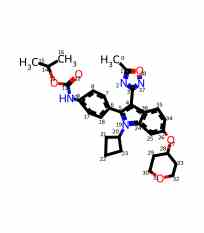 Cc1nc(-c2c(-c3ccc(NC(=O)OC(C)C)cc3)n(C3CCC3)c3cc(OC4CCOCC4)ccc23)no1